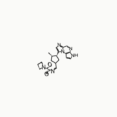 C[C@@H]1CC(/C=N\S(=O)(=O)N2CCC2)C[C@@H]1c1cnc2cnc3[nH]ccc3n12